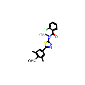 CCCCN(C(=O)c1ccccc1Cl)c1nnc(-c2cc(C)c(C=O)c(C)c2)s1